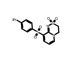 CC(C)c1ccc(S(=O)(=O)C2=CC=CN3CCS(=O)(=O)N=C23)cc1